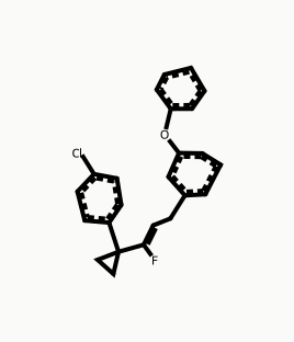 FC(=CCc1cccc(Oc2ccccc2)c1)C1(c2ccc(Cl)cc2)CC1